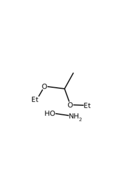 CCOC(C)OCC.NO